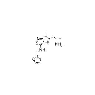 Cc1c(C[C@H](C)N)sc2c(NCc3ccco3)snc12